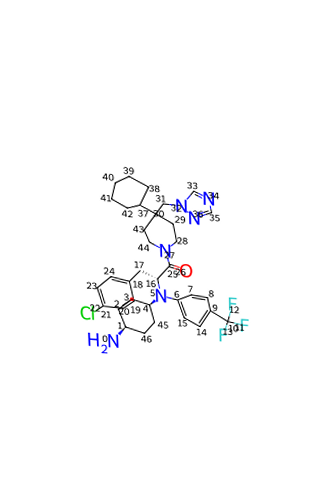 N[C@H]1CC[C@@H](N(c2ccc(C(F)(F)F)cc2)[C@H](Cc2ccc(Cl)cc2)C(=O)N2CCC(Cn3cncn3)(C3CCCCC3)CC2)CC1